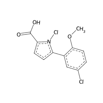 COc1ccc(Cl)cc1-c1ccc(C(=O)O)n1Cl